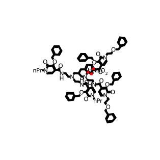 CCCn1ccc(C(=O)NCCN(CCNC(=O)c2ccn(CCC)c(=O)c2OCc2ccccc2)CC(Cc2ccc([N+](=O)[O-])cc2)CN(CCNC(=O)c2ccn(CCOCc3ccccc3)c(=O)c2OCc2ccccc2)CCNC(=O)c2ccn(CCOCc3ccccc3)c(=O)c2OCc2ccccc2)c(OCc2ccccc2)c1=O